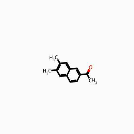 CC(=O)c1ccc2cc(C)c(C)cc2c1